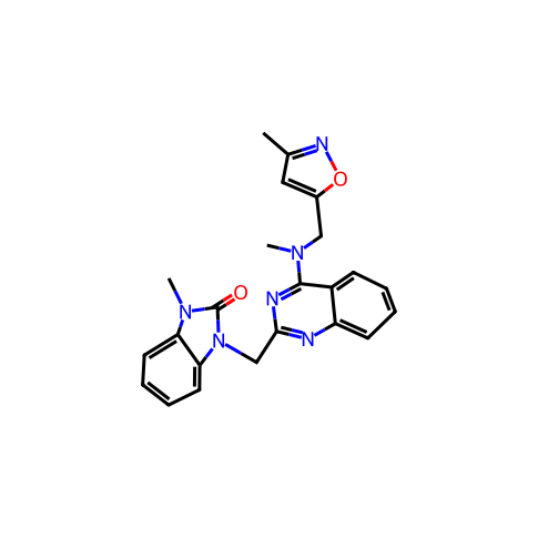 Cc1cc(CN(C)c2nc(Cn3c(=O)n(C)c4ccccc43)nc3ccccc23)on1